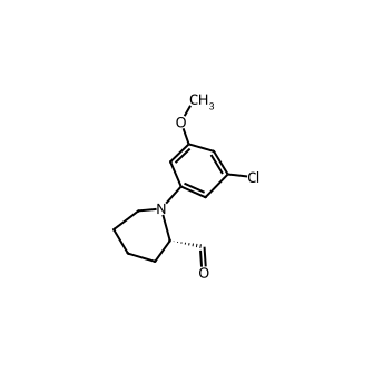 COc1cc(Cl)cc(N2CCCC[C@H]2C=O)c1